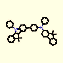 CC1(C)C2=CC(N(c3ccccc3)c3ccc(-c4ccc5c(c4)c4c(n5-c5ccccc5)-c5ccccc5C4(C)C)cc3)CC=C2c2ccccc21